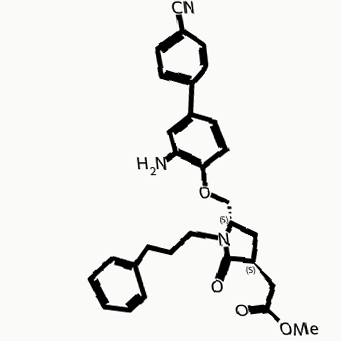 COC(=O)C[C@@H]1C[C@@H](COc2ccc(-c3ccc(C#N)cc3)cc2N)N(CCCc2ccccc2)C1=O